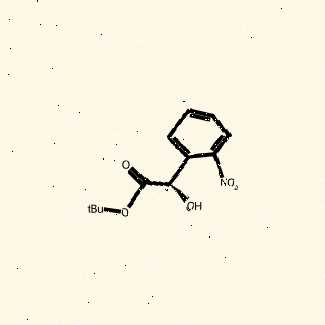 CC(C)(C)OC(=O)[C@H](O)c1ccccc1[N+](=O)[O-]